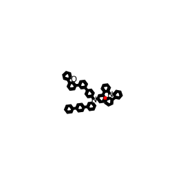 c1ccc(-c2ccc(-c3cccc(N(c4ccc(-c5cccc(-c6cccc7c6oc6ccccc67)c5)cc4)c4cccc(-c5ccccc5-n5c6ccccc6c6ccccc65)c4)c3)cc2)cc1